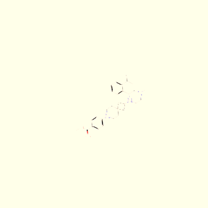 COC(=O)c1ccc(N2CCC3(CC2)CC(N2CCN(C)CC2c2ccccc2C(C)C)C3)cc1